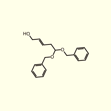 OCC=CCC(OCc1ccccc1)OCc1ccccc1